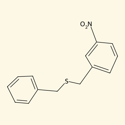 O=[N+]([O-])c1cccc(CSCc2ccccc2)c1